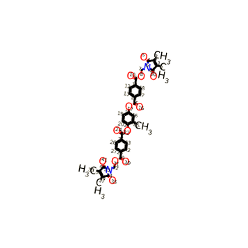 CC1=C(C)C(=O)N(COC(=O)c2ccc(C(=O)Oc3ccc(OC(=O)c4ccc(C(=O)OCN5C(=O)C(C)=C(C)C5=O)cc4)c(C)c3)cc2)C1=O